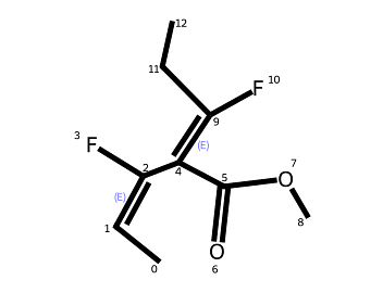 C/C=C(F)\C(C(=O)OC)=C(\F)CC